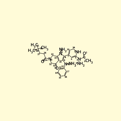 CC(=O)N(N)C1=CC(c2c(N(N)c3ccccc3)c3c(n2N)CN(C(=O)CCC(C)(C)C)CC3=O)=CCN1